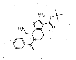 C[C@@H](c1ccccc1)N1CCc2c(sc(N)c2C(=O)OC(C)(C)C)C1CN